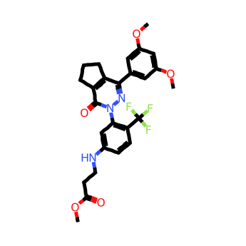 COC(=O)CCNc1ccc(C(F)(F)F)c(-n2nc(-c3cc(OC)cc(OC)c3)c3c(c2=O)CCC3)c1